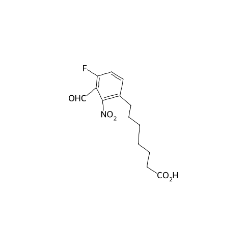 O=Cc1c(F)ccc(CCCCCCC(=O)O)c1[N+](=O)[O-]